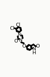 O=C1Cc2cc(OCCN3CCN(c4ccc(Cl)c(Cl)c4)CC3=O)ccc2N1